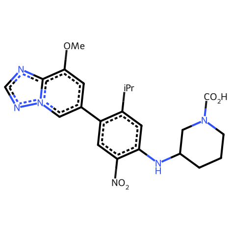 COc1cc(-c2cc([N+](=O)[O-])c(NC3CCCN(C(=O)O)C3)cc2C(C)C)cn2ncnc12